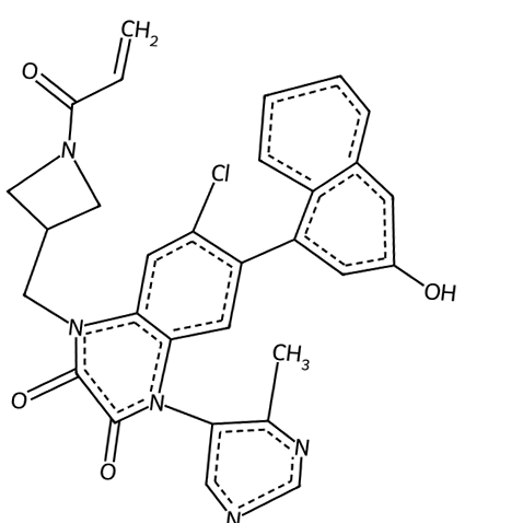 C=CC(=O)N1CC(Cn2c(=O)c(=O)n(-c3cncnc3C)c3cc(-c4cc(O)cc5ccccc45)c(Cl)cc32)C1